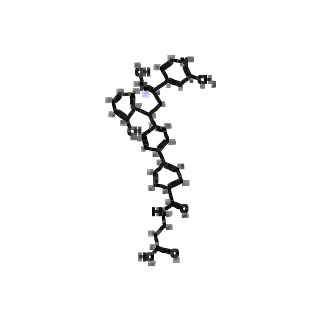 Cc1cc(/C(CC(c2ccc(-c3ccc(C(=O)NCCC(=O)O)cc3)cc2)c2ccccc2C)=N\O)ccn1